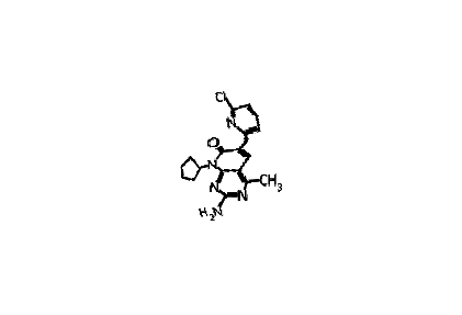 Cc1nc(N)nc2c1cc(-c1cccc(Cl)n1)c(=O)n2C1CCCC1